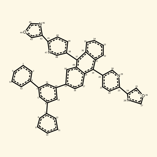 c1ccc(-c2cc(-c3ccccc3)cc(-c3ccc4c(-c5ccc(-c6cocn6)nc5)c5ccccc5c(-c5ccc(-c6cocn6)nc5)c4c3)c2)cc1